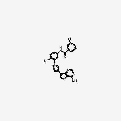 Cc1ccc(NC(=O)c2cccc(Cl)c2)cc1-n1cc(-c2csc3c(N)ncnc23)cn1